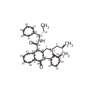 C=CCN(CC=C)Cc1c(C(=O)N[C@@H](CC)c2ccccc2)c2ccccc2c(=O)n1-c1ccccc1